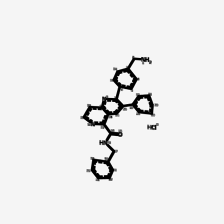 Cl.NCc1ccc(-c2nc3ccnc(C(=O)NCc4ccccc4)c3cc2-c2ccccc2)cc1